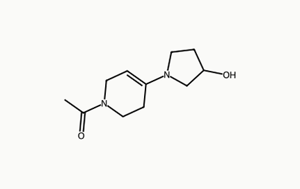 CC(=O)N1CC=C(N2CCC(O)C2)CC1